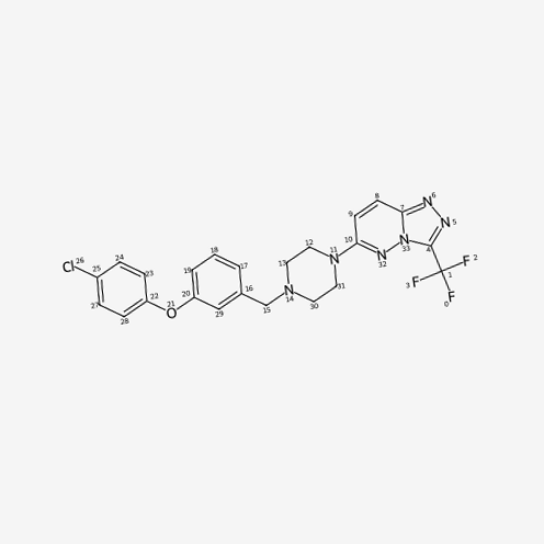 FC(F)(F)c1nnc2ccc(N3CCN(Cc4cccc(Oc5ccc(Cl)cc5)c4)CC3)nn12